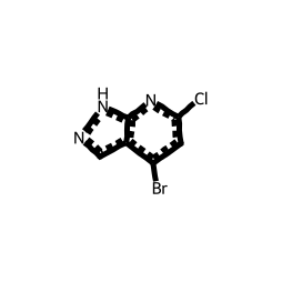 Clc1cc(Br)c2cn[nH]c2n1